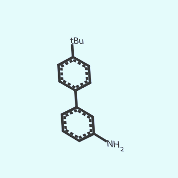 CC(C)(C)c1ccc(-c2cccc(N)c2)cc1